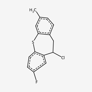 Cc1ccc2c(c1)Sc1ccc(F)cc1C(Cl)C2